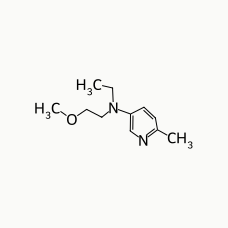 CCN(CCOC)c1ccc(C)nc1